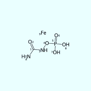 NC(=O)NOP(=O)(O)O.[Fe]